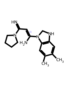 Cc1cc2c(cc1C)N(/C(N)=C/C(=N)N1CCCC1)CN2